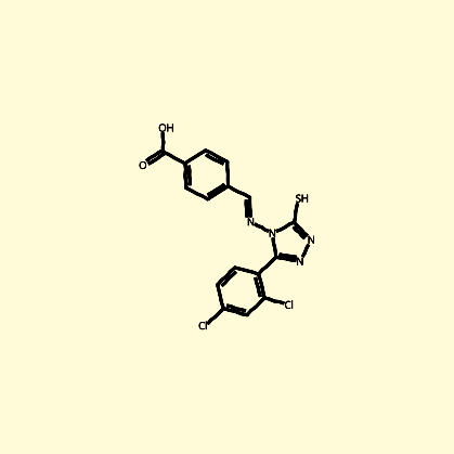 O=C(O)c1ccc(C=Nn2c(S)nnc2-c2ccc(Cl)cc2Cl)cc1